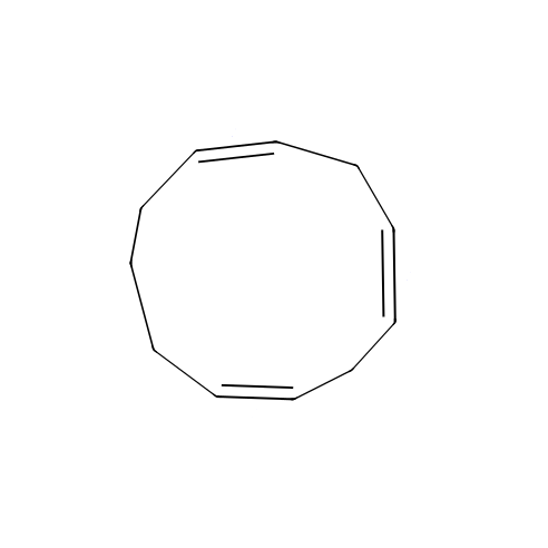 [CH]1/C=C\C/C=C\C/C=C\CC1